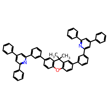 CC1(C)c2cc(-c3cccc(-c4cc(-c5ccccc5)cc(-c5ccccc5)n4)c3)ccc2Oc2ccc(-c3cccc(-c4cc(-c5ccccc5)cc(-c5ccccc5)n4)c3)cc21